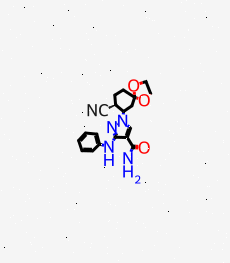 N#C[C@H]1CCC2(CC1n1cc(C(N)=O)c(Nc3ccccc3)n1)OCCO2